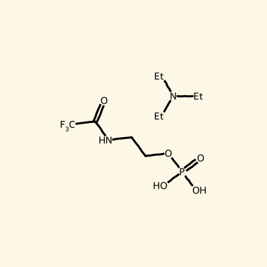 CCN(CC)CC.O=C(NCCOP(=O)(O)O)C(F)(F)F